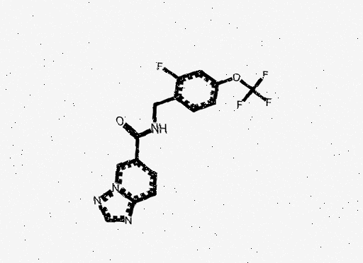 O=C(NCc1ccc(OC(F)(F)F)cc1F)c1ccc2ncnn2c1